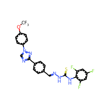 Fc1cc(F)c(NC(=S)N/N=C/c2ccc(-c3ncn(-c4ccc(OC(F)(F)F)cc4)n3)cc2)c(F)c1